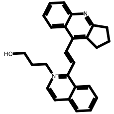 OCCC[n+]1ccc2ccccc2c1/C=C/c1c2c(nc3ccccc13)CCC2